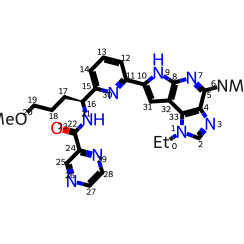 CCn1cnc2c(NC)nc3[nH]c(-c4cccc([C@H](CCCOC)NC(=O)c5cnccn5)n4)cc3c21